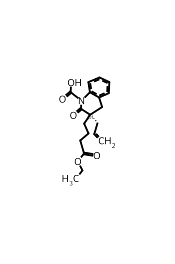 C=CC[C@@]1(CCCC(=O)OCC)Cc2ccccc2N(C(=O)O)C1=O